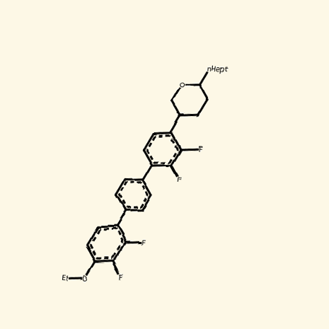 CCCCCCCC1CCC(c2ccc(-c3ccc(-c4ccc(OCC)c(F)c4F)cc3)c(F)c2F)CO1